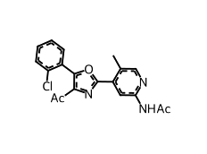 CC(=O)Nc1cc(-c2nc(C(C)=O)c(-c3ccccc3Cl)o2)c(C)cn1